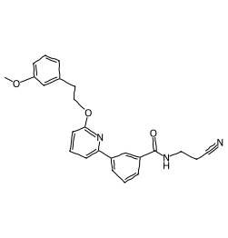 COc1cccc(CCOc2cccc(-c3cccc(C(=O)NCCC#N)c3)n2)c1